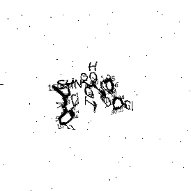 O=C(NCC1CC(Cc2ccccc2Cl)=CS1)[C@H](O)[C@@H](O)C(=O)N1CCC[C@@H]1c1cccc(Cl)c1